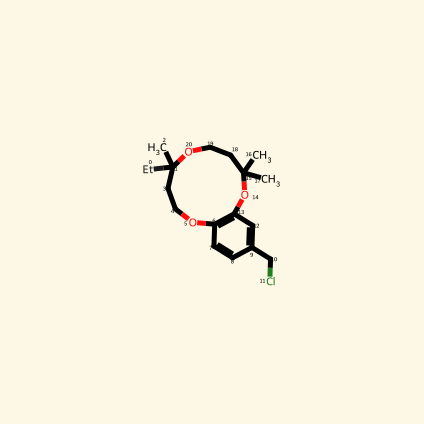 CCC1(C)CCOc2ccc(CCl)cc2OC(C)(C)CCO1